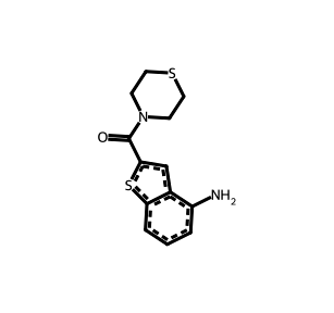 Nc1cccc2sc(C(=O)N3CCSCC3)cc12